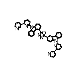 c1cncc(-c2cccc(-n3c4ccccc4c4cc(-c5nnc(-c6cccc7c6c6ccccc6n7-c6cccc(-c7cccnc7)n6)o5)ccc43)n2)c1